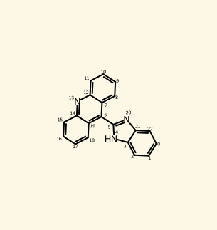 c1ccc2[nH]c(-c3c4ccccc4nc4ccccc34)nc2c1